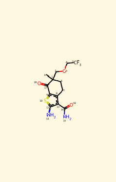 CC1(COCC(F)(F)F)CCc2c(sc(N)c2C(N)=O)C1=O